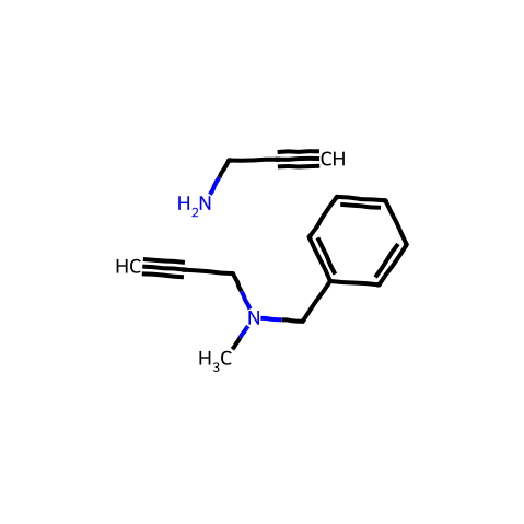 C#CCN.C#CCN(C)Cc1ccccc1